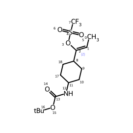 C/C=C(\OS(=O)(=O)C(F)(F)F)C1CCC(NC(=O)OC(C)(C)C)CC1